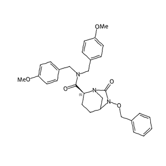 COc1ccc(CN(Cc2ccc(OC)cc2)C(=O)[C@@H]2CCC3CN2C(=O)N3OCc2ccccc2)cc1